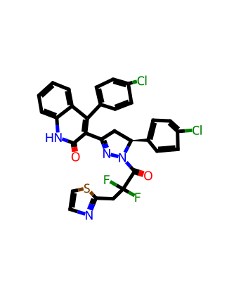 O=C(N1N=C(c2c(-c3ccc(Cl)cc3)c3ccccc3[nH]c2=O)C[C@H]1c1ccc(Cl)cc1)C(F)(F)Cc1nccs1